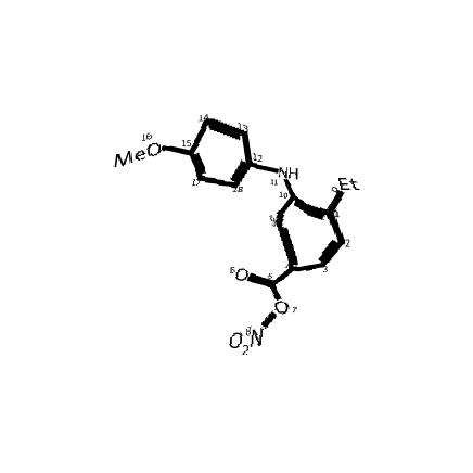 CCc1ccc(C(=O)O[N+](=O)[O-])cc1Nc1ccc(OC)cc1